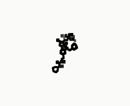 C[Si](C)(C)CCN1C(=O)CN(c2ccc(CCNC(=O)NC3CCCCC3)cc2OCc2ccccc2)S1(=O)=O